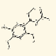 CCc1cc(OC)c(O)cc1C(CC)NC(C)=O